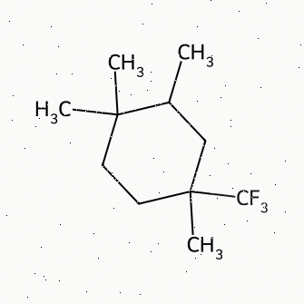 CC1CC(C)(C(F)(F)F)CCC1(C)C